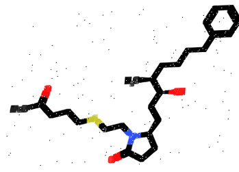 COC(=O)CCCSCCN1C(=O)CC[C@@H]1CC[C@@H](O)[C@@H](C)CCCCc1ccccc1